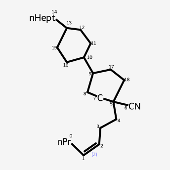 CCC/C=C\CCC1(C#N)CCC(C2CCC(CCCCCCC)CC2)CC1